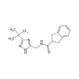 CC(C)(c1n[nH]c(CNC(=O)C2Cc3ccccc3C2)n1)C(F)(F)F